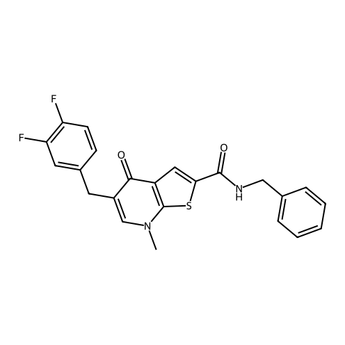 Cn1cc(Cc2ccc(F)c(F)c2)c(=O)c2cc(C(=O)NCc3ccccc3)sc21